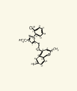 Cc1cc(OCc2cc(C)nn2-c2ccccc2Cl)c2cc(F)ccc2n1